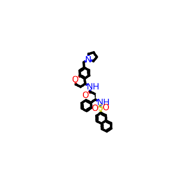 O=C(C[C@@H](NS(=O)(=O)c1ccc2ccccc2c1)c1ccccc1)NC1CCOc2cc(CN3CCCC3)ccc21